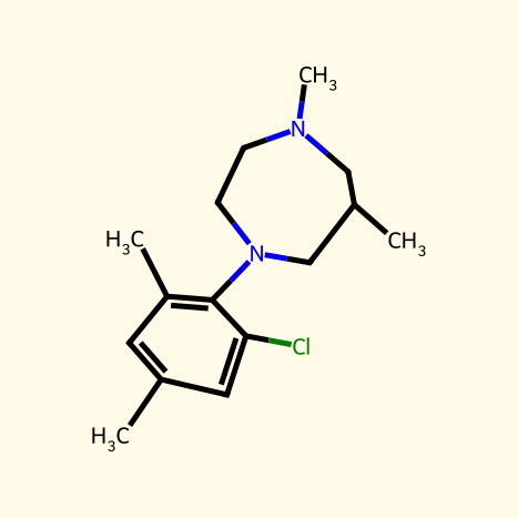 Cc1cc(C)c(N2CCN(C)CC(C)C2)c(Cl)c1